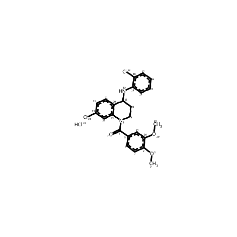 COc1ccc(C(=O)N2CCC(Nc3ccccc3Cl)c3ccc(Cl)cc32)cc1OC.Cl